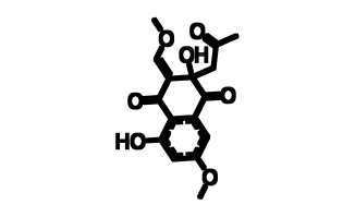 COC=C1C(=O)c2c(O)cc(OC)cc2C(=O)C1(O)CC(C)=O